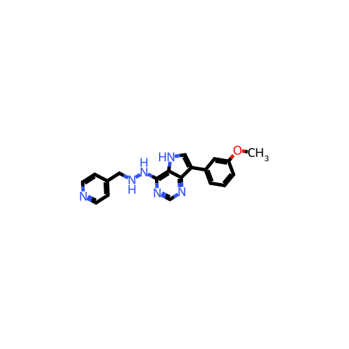 COc1cccc(-c2c[nH]c3c(NNCc4ccncc4)ncnc23)c1